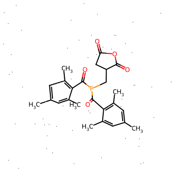 Cc1cc(C)c(C(=O)P(CC2CC(=O)OC2=O)C(=O)c2c(C)cc(C)cc2C)c(C)c1